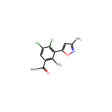 COC(=O)c1cc(Cl)c(Cl)c(-c2cc(C)no2)c1C